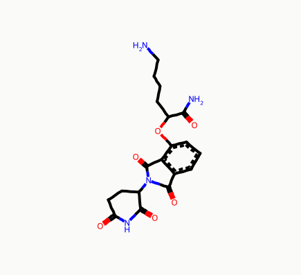 NCCCCC(Oc1cccc2c1C(=O)N(C1CCC(=O)NC1=O)C2=O)C(N)=O